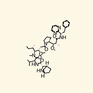 CC[C@H](C)[C@@H]([C@H](CC(=O)N1CCC[C@H]1[C@H](OC)[C@@H](C)C(=O)N[C@H](Cc1ccccc1)c1ncccn1)OC)N(C)C(=O)[C@@H](NC(=O)[C@H]1N[C@@H]2CC[C@H]1C2)C(C)C